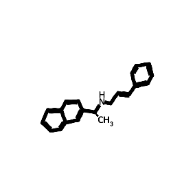 C[C@@H](NC/C=C/c1ccccc1)c1ccc2ccccc2c1